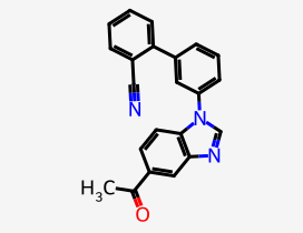 CC(=O)c1ccc2c(c1)ncn2-c1cccc(-c2ccccc2C#N)c1